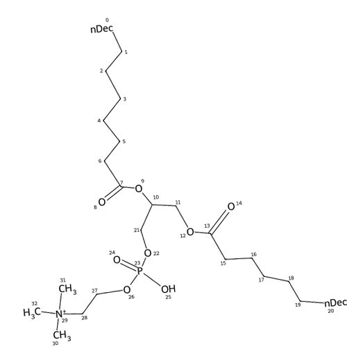 CCCCCCCCCCCCCCCCC(=O)OC(COC(=O)CCCCCCCCCCCCCCC)COP(=O)(O)OCC[N+](C)(C)C